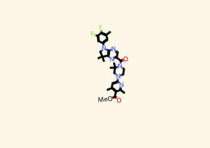 COC(=O)c1c(C)cc(N2CCN(C(=O)c3cnc4c(n3)C(C)(C)CN4c3cc(C)c(F)c(F)c3)C(C)(C)C2)nc1C